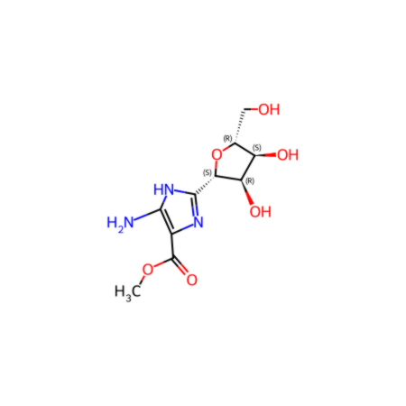 COC(=O)c1nc([C@@H]2O[C@H](CO)[C@@H](O)[C@H]2O)[nH]c1N